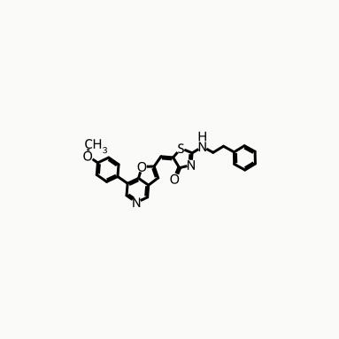 COc1ccc(-c2cncc3cc(/C=C4/SC(NCCc5ccccc5)=NC4=O)oc23)cc1